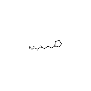 CSOCCCN1CCCC1